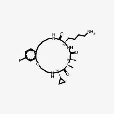 C[C@@H]1C(=O)N[C@H](CCCCN)C(=O)NCCCc2ccc(F)cc2OCCN[C@@H](C2CC2)C(=O)N1C